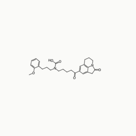 COc1ccccc1CCCN(CCCCC(=O)c1cc2c3c(c1)CC(=O)N3CCC2)C(=O)O